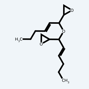 CCCC=CC(OC(C=CCCC)C1CO1)C1CO1